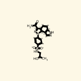 CC(O)CNS(=O)(=O)c1ccc(-n2nc(C(N)=O)c3ccc4[nH]ncc4c32)cc1